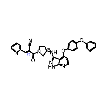 N#C/C(=C\c1ccccn1)C(=O)N1CC[C@@H](Nc2n[nH]c3nccc(Oc4ccc(Oc5ccccc5)cc4)c23)C1